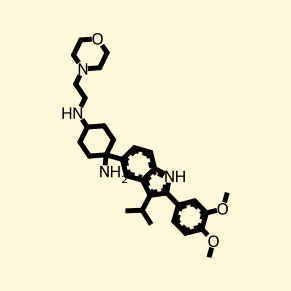 COc1ccc(-c2[nH]c3ccc(C4(N)CCC(NCCN5CCOCC5)CC4)cc3c2C(C)C)cc1OC